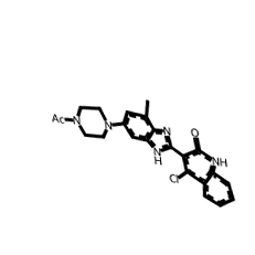 CC(=O)N1CCN(c2cc(C)c3nc(-c4c(Cl)c5ccccc5[nH]c4=O)[nH]c3c2)CC1